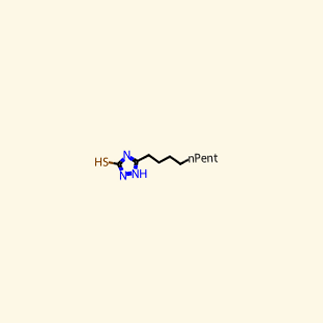 CCCCCCCCCc1nc(S)n[nH]1